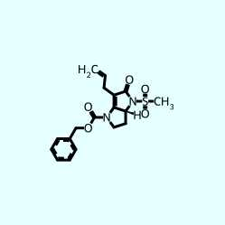 C=CCC1=C2[C@@H](CCN2C(=O)OCc2ccccc2)N(S(C)(=O)=O)C1=O